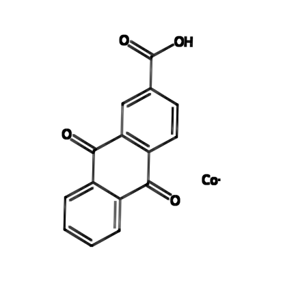 O=C(O)c1ccc2c(c1)C(=O)c1ccccc1C2=O.[Co]